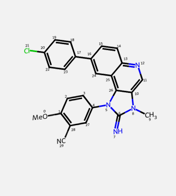 COc1ccc(-n2c(=N)n(C)c3cnc4ccc(-c5ccc(Cl)cc5)cc4c32)cc1C#N